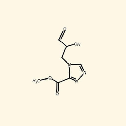 COC(=O)c1nn[c]n1CC(O)C=O